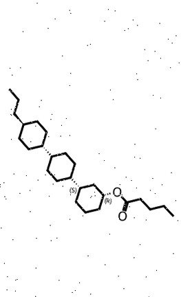 CCCCC(=O)O[C@@H]1CCC[C@H](C2CCC([C@H]3CC[C@H](CCC)CC3)CC2)C1